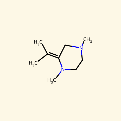 CC(C)=C1CN(C)CCN1C